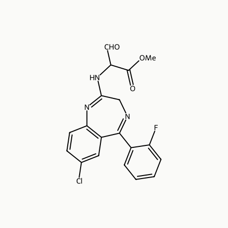 COC(=O)C(C=O)NC1=Nc2ccc(Cl)cc2C(c2ccccc2F)=NC1